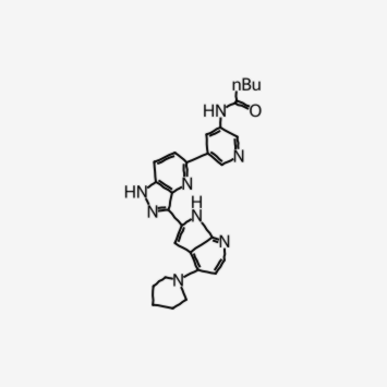 CCCCC(=O)Nc1cncc(-c2ccc3[nH]nc(-c4cc5c(N6CCCCC6)ccnc5[nH]4)c3n2)c1